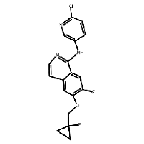 Fc1cc2c(Nc3ccc(Cl)nc3)nccc2cc1OCC1(F)CC1